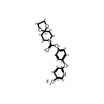 O=C(Oc1ccc(Oc2ccc(C(F)(F)F)cn2)cc1)N1CCC2(CC1)OCCO2